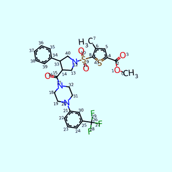 COC(=O)c1cc(C)c(S(=O)(=O)N2CC(C(=O)N3CCN(c4cccc(C(F)(F)F)c4)CC3)C(c3ccccc3)C2)s1